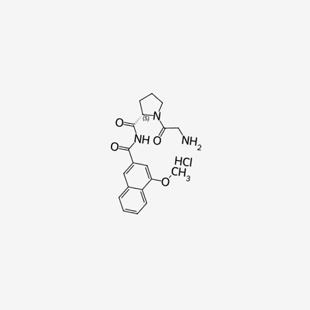 COc1cc(C(=O)NC(=O)[C@@H]2CCCN2C(=O)CN)cc2ccccc12.Cl